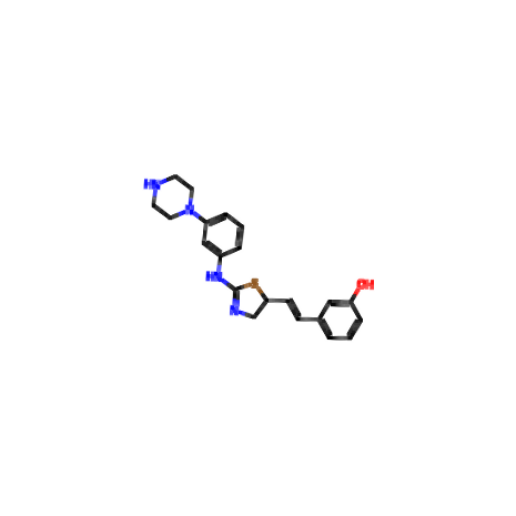 Oc1cccc(/C=C/C2CN=C(Nc3cccc(N4CCNCC4)c3)S2)c1